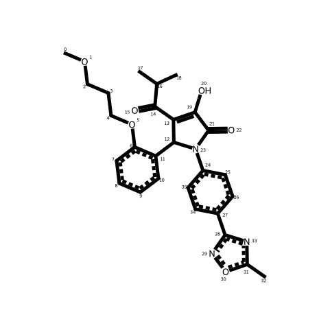 COCCCOc1ccccc1C1C(C(=O)C(C)C)=C(O)C(=O)N1c1ccc(-c2noc(C)n2)cc1